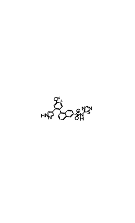 O=S(=O)(Nc1ncns1)c1ccc2c(-c3ccc(C(F)(F)F)cc3-c3cn[nH]c3)cccc2c1